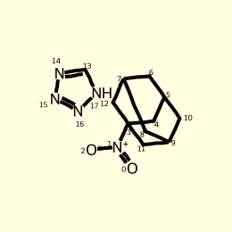 O=[N+]([O-])C12CC3CC(CC(C3)C1)C2.c1nnn[nH]1